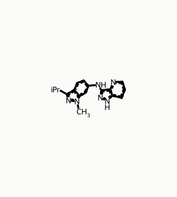 CC(C)c1nn(C)c2cc(Nc3n[nH]c4cccnc34)ccc12